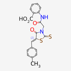 Cc1ccc(/C=C2\SC(=S)N(CC(=O)Nc3ccccc3C(=O)O)C2=O)cc1